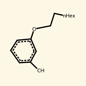 [CH]c1cccc(OCCCCCCCC)c1